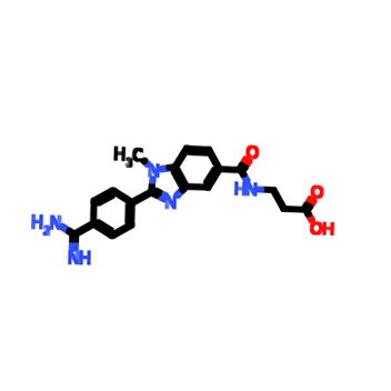 Cn1c(-c2ccc(C(=N)N)cc2)nc2cc(C(=O)NCCC(=O)O)ccc21